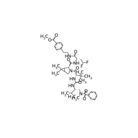 COC(=O)c1ccc(CCNC(=O)[C@H](CC(F)F)NC(=O)[C@@H]2C3C(CN2C(=O)[C@@H](NC(=O)N[C@H](CN(C)S(=O)(=O)c2ccccc2)C(C)C)C(C)(C)C)C3(C)C)cc1